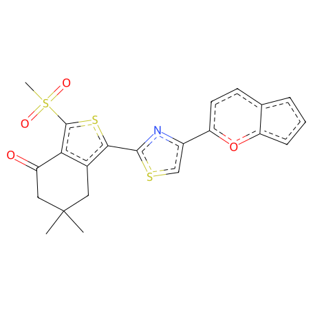 CC1(C)CC(=O)c2c(S(C)(=O)=O)sc(-c3nc(-c4ccc5cccc-5o4)cs3)c2C1